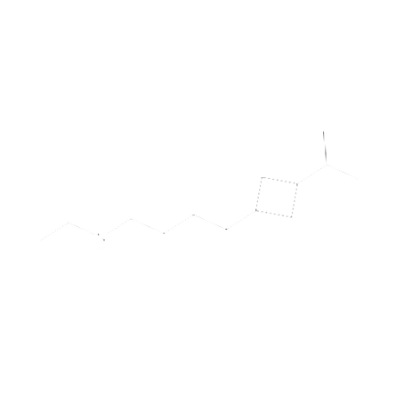 CCNCCCCC1CC(C(C)C)C1